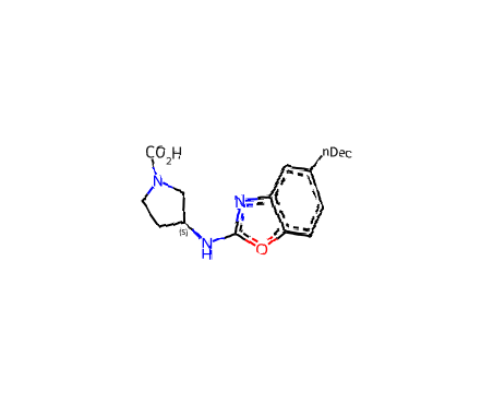 CCCCCCCCCCc1ccc2oc(N[C@H]3CCN(C(=O)O)C3)nc2c1